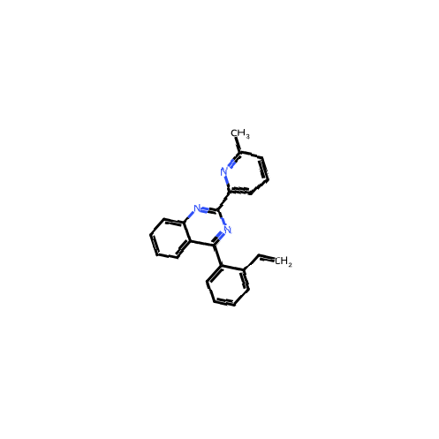 C=Cc1ccccc1-c1nc(-c2cccc(C)n2)nc2ccccc12